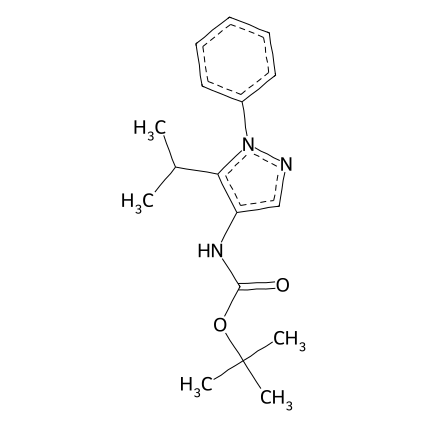 CC(C)c1c(NC(=O)OC(C)(C)C)cnn1-c1ccccc1